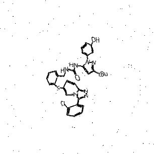 CC(C)(C)c1cc(NC(=O)NCc2ccccc2Sc2ccc3nnc(-c4ccccc4Cl)n3c2)n(-c2cccc(O)c2)n1